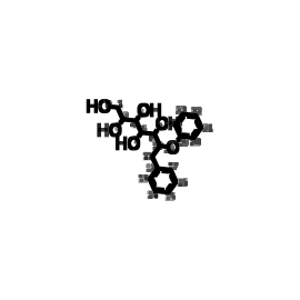 OCC(O)C(O)C(O)C(O)C(Cc1ccccc1)Oc1ccccc1